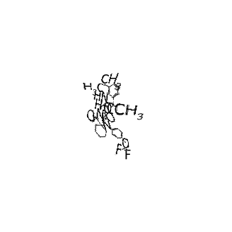 CC(C)c1cccc(C(C)C)c1NC(=O)CN1C(=O)N(c2ccc(OC(F)F)cc2)C2(CCCCC2)C1=O